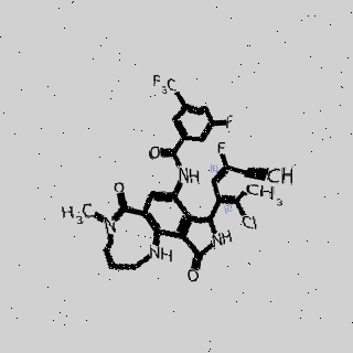 C#C/C(F)=C\C(=C(/C)Cl)C1NC(=O)c2c3c(cc(NC(=O)c4cc(F)cc(C(F)(F)F)c4)c21)C(=O)N(C)CCCN3